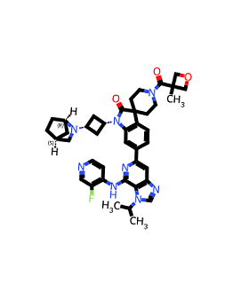 CC(C)n1cnc2cc(-c3ccc4c(c3)N([C@H]3C[C@@H](N5C[C@H]6CC[C@@H]5C6)C3)C(=O)C43CCN(C(=O)C4(C)COC4)CC3)nc(Nc3ccncc3F)c21